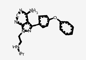 CC(C)NCCn1nc(-c2ccc(Oc3ccccc3)cc2)c2c(N)ncnc21